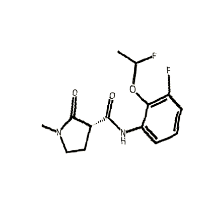 CC(F)Oc1c(F)cccc1NC(=O)[C@@H]1CCN(C)C1=O